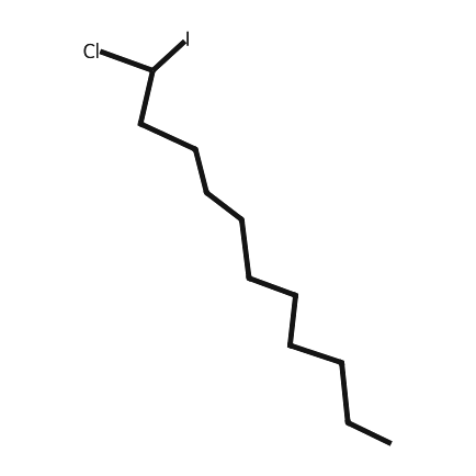 CCCCCCCCCCC(Cl)I